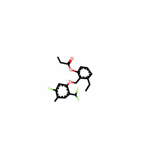 CCC(=O)Oc1cccc(CC)c1COc1cc(F)c(C)cc1C(F)F